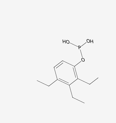 CCc1ccc(OP(O)O)c(CC)c1CC